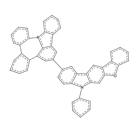 c1ccc(-n2c3ccc(-c4cc5c6c(c4)c4ccccc4n6-c4ccccc4-c4ccccc4-5)cc3c3cc4c(cc32)oc2ccccc24)cc1